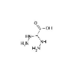 NNC(NN)C(=O)O